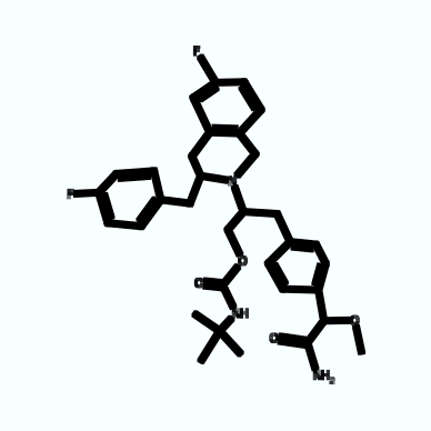 COC(C(N)=O)c1ccc(CC(COC(=O)NC(C)(C)C)N2Cc3ccc(F)cc3CC2Cc2ccc(F)cc2)cc1